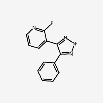 Fc1ncccc1C1=N[N]N=C1c1ccccc1